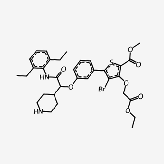 CCOC(=O)COc1c(C(=O)OC)sc(-c2cccc(OC(C(=O)Nc3c(CC)cccc3CC)C3CCNCC3)c2)c1Br